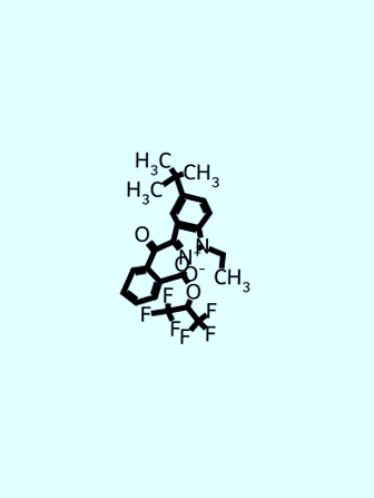 CCn1c2ccc(C(C)(C)C)cc2c(C(=O)c2ccccc2C(=O)OC(C(F)(F)F)C(F)(F)F)[n+]1[O-]